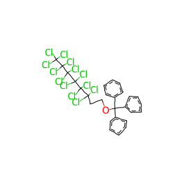 ClC(Cl)(Cl)C(Cl)(Cl)C(Cl)(Cl)C(Cl)(Cl)C(Cl)(Cl)C(Cl)(Cl)CCOC(c1ccccc1)(c1ccccc1)c1ccccc1